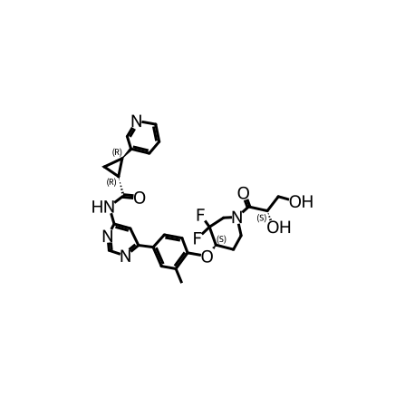 Cc1cc(-c2cc(NC(=O)[C@@H]3C[C@H]3c3cccnc3)ncn2)ccc1O[C@H]1CCN(C(=O)[C@@H](O)CO)CC1(F)F